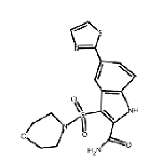 NC(=O)c1[nH]c2ccc(-c3nccs3)cc2c1S(=O)(=O)N1CCOCC1